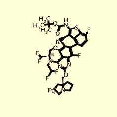 CC(C)(C)OC(=O)Nc1sc2c(F)ccc(-c3c(Cl)c4c5c(nc(OC[C@@]67CCCN6C[C@H](F)C7)nc5c3F)N(CC(F)F)[C@@H](C(F)F)CO4)c2c1C#N